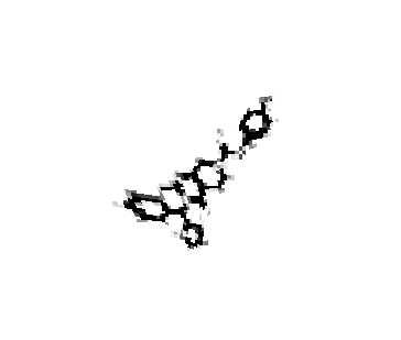 Cc1nc2c(c(=O)n1C(c1ccccc1)c1cccs1)CCN(C(=O)Oc1ccc(Br)cc1)C2